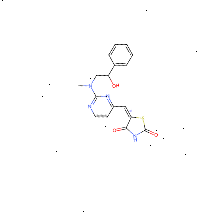 CN(CC(O)c1ccccc1)c1nccc(/C=C2/SC(=O)NC2=O)n1